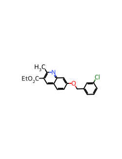 CCOC(=O)c1cc2ccc(OCc3cccc(Cl)c3)cc2nc1C